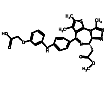 COC(=O)C[C@@H]1N=C(c2ccc(Nc3cccc(OCC(=O)O)c3)cc2)c2c(sc(C)c2C)-n2c(C)nnc21